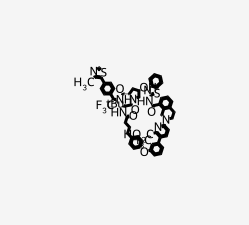 Cc1ncsc1-c1ccc(C(NC(=O)[C@@H]2C[C@@H](O)CN2C(=O)C(NC(=O)CCCc2ccc(Oc3cccc(-c4ccc(N5CCc6cccc(C(=O)Nc7nc8ccccc8s7)c6C5)nc4C(=O)O)c3C)cc2)C(C)(C)C)C(F)(F)F)cc1